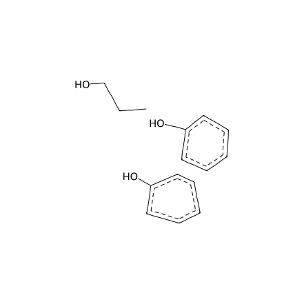 CCCO.Oc1ccccc1.Oc1ccccc1